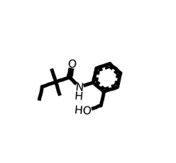 CCC(C)(C)C(=O)Nc1ccccc1CO